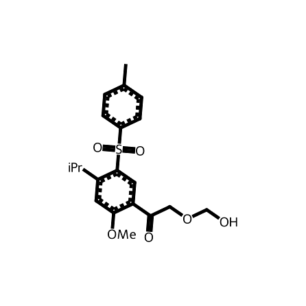 COc1cc(C(C)C)c(S(=O)(=O)c2ccc(C)cc2)cc1C(=O)COCO